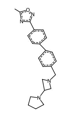 Cc1nc(-c2ccc(-c3ccc(CN4CC(N5CCCC5)C4)cc3)cc2)no1